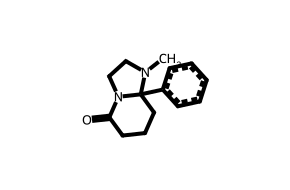 CN1CCN2C(=O)CCCC12c1ccccc1